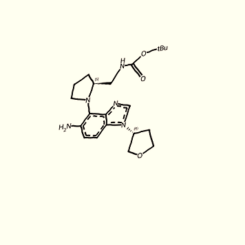 CC(C)(C)OC(=O)NC[C@@H]1CCCN1c1c(N)ccc2c1ncn2[C@@H]1CCOC1